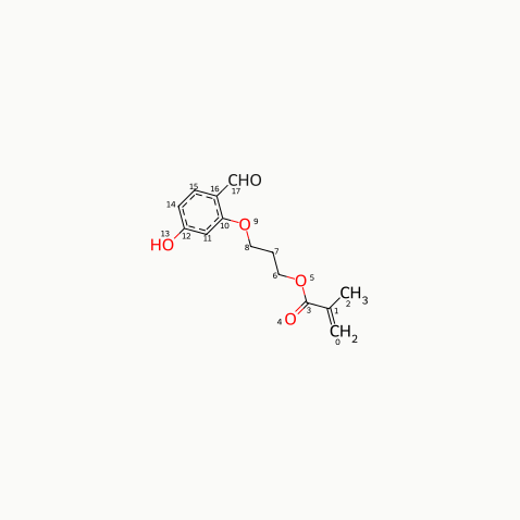 C=C(C)C(=O)OCCCOc1cc(O)ccc1C=O